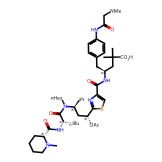 CCCCCCN(C(=O)[C@@H](NC(=O)[C@H]1CCCCN1C)[C@@H](C)CC)[C@H](C[C@@H](OC(C)=O)c1nc(C(=O)N[C@@H](Cc2ccc(NC(=O)CNC)cc2)CC(C)(C)C(=O)O)cs1)C(C)C